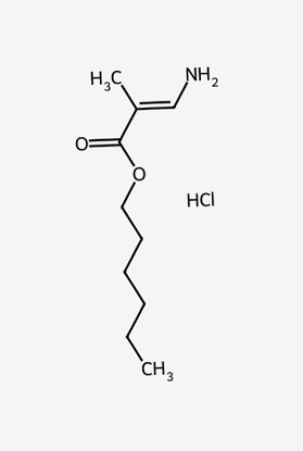 CCCCCCOC(=O)C(C)=CN.Cl